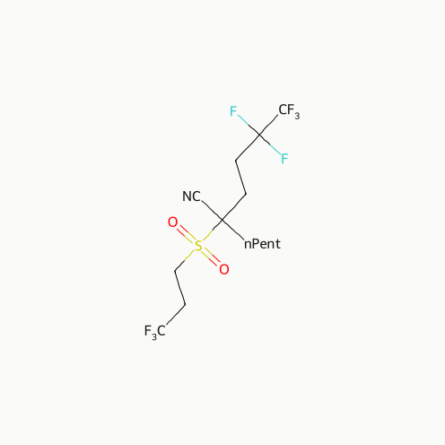 CCCCCC(C#N)(CCC(F)(F)C(F)(F)F)S(=O)(=O)CCC(F)(F)F